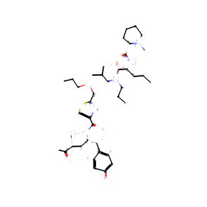 CCCO[C@H](C[C@H](C(C)C)N(CCC)C(=O)[C@@H](NC(=O)[C@H]1CCCCN1C)[C@@H](C)CC)c1nc(C(=O)N[C@@H](Cc2ccc(O)cc2)C[C@H](C)C(C)=O)cs1